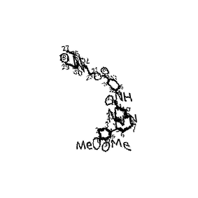 COc1ccc(-c2ccnc3cc(C(=O)NC4CCC(C(=O)OCCCN5CCOCC5)CC4)nn23)cc1OC